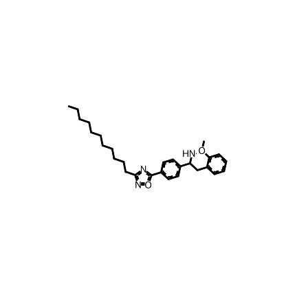 CCCCCCCCCCCc1noc(-c2ccc(C([NH])Cc3ccccc3OC)cc2)n1